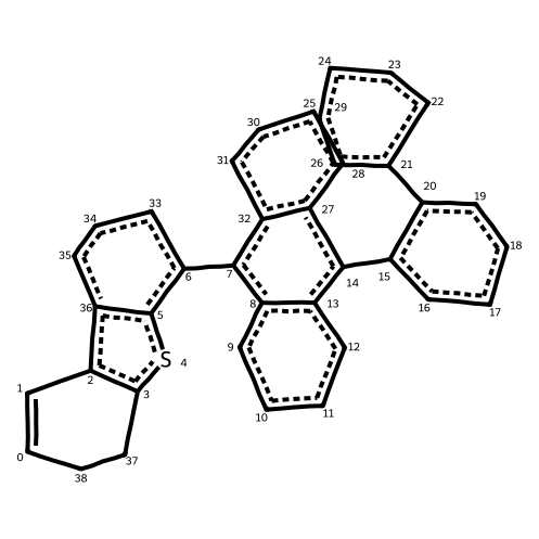 C1=Cc2c(sc3c(-c4c5ccccc5c(-c5ccccc5-c5ccccc5)c5ccccc45)cccc23)CC1